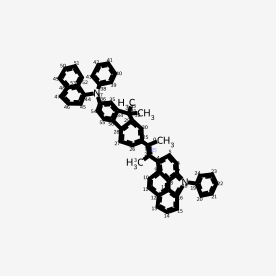 C/C(=C(/C)c1ccc2c3c1ccc1cccc(c13)n2-c1ccccc1)c1ccc2c(c1)C(C)(C)c1cc(N(c3ccccc3)c3cccc4ccccc34)ccc1-2